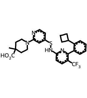 CC1(C(=O)O)CCN(c2cc(SNc3ccc(C(F)(F)F)c(-c4ccccc4C4CCC4)n3)ccn2)CC1